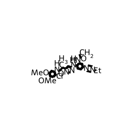 C=CC(=O)Nc1cc(N2CCN(CC)CC2)ccc1Nc1cc(C(C)C(=O)Nc2cc(OC)cc(OC)c2Cl)ncn1